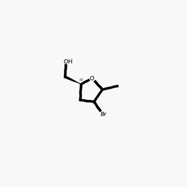 CC1O[C@H](CO)CC1Br